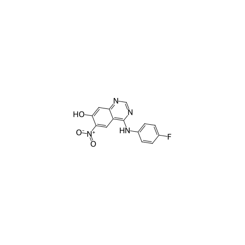 O=[N+]([O-])c1cc2c(Nc3ccc(F)cc3)ncnc2cc1O